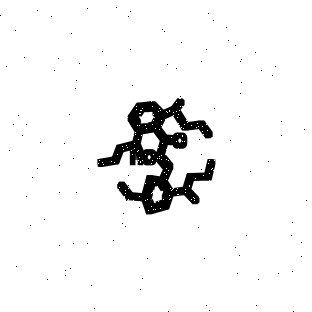 CCCC(C)c1ccc(CC)cc1C=C(O)C(=O)c1c(C(C)CCC)cccc1C(C)CCC